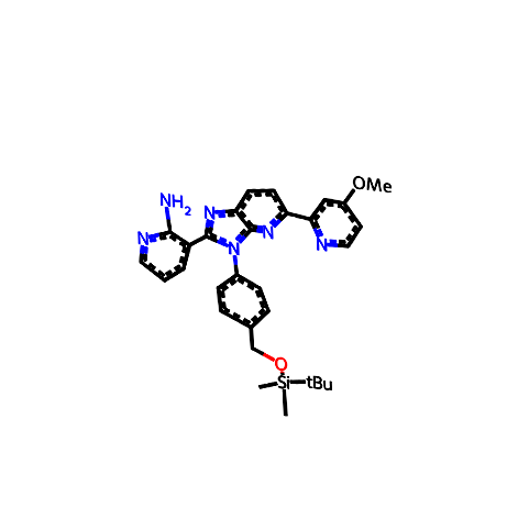 COc1ccnc(-c2ccc3nc(-c4cccnc4N)n(-c4ccc(CO[Si](C)(C)C(C)(C)C)cc4)c3n2)c1